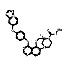 CC(C)(C)OC(=O)N1CCN2C[C@@H]1COc1c2ccc2ncnc(Nc3ccc(Oc4ccn5ncnc5c4)cc3)c12